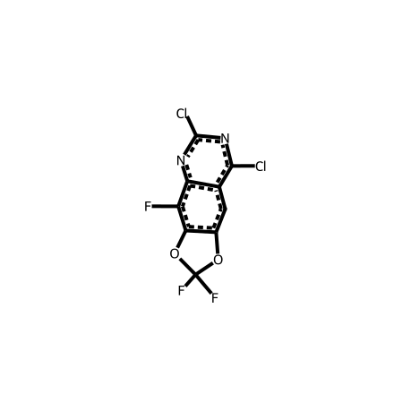 Fc1c2c(cc3c(Cl)nc(Cl)nc13)OC(F)(F)O2